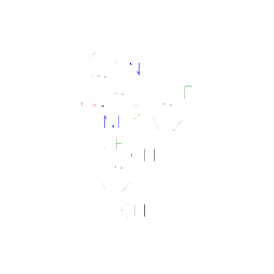 Cc1ccc(C(F)(F)CNC(=O)c2c(Sc3cccc(F)c3)cnc3ccccc23)c(C)c1